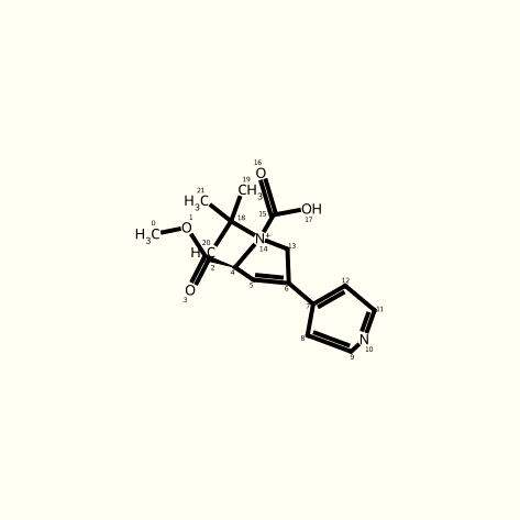 COC(=O)[C@@H]1C=C(c2ccncc2)C[N+]1(C(=O)O)C(C)(C)C